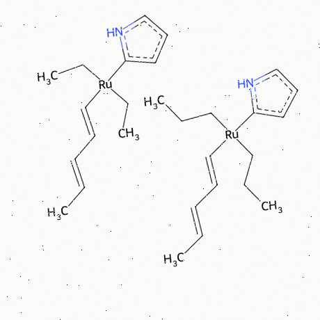 CC=CC=[CH][Ru]([CH2]C)([CH2]C)[c]1ccc[nH]1.CC=CC=[CH][Ru]([CH2]CC)([CH2]CC)[c]1ccc[nH]1